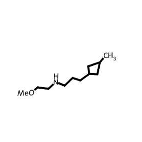 COCCNCCCC1CC(C)C1